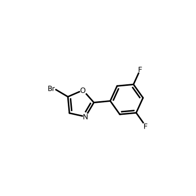 Fc1cc(F)cc(-c2ncc(Br)o2)c1